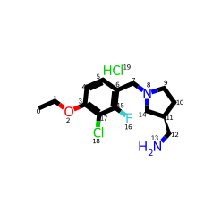 CCOc1ccc(CN2CC[C@@H](CN)C2)c(F)c1Cl.Cl